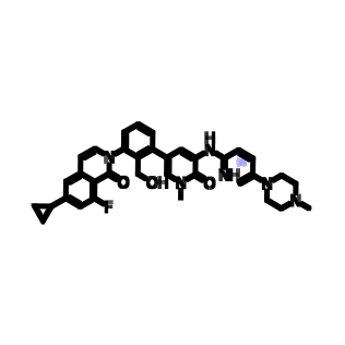 C=C(/C=C\C(=N)Nc1cc(-c2cccc(-n3ccc4cc(C5CC5)cc(F)c4c3=O)c2CO)cn(C)c1=O)N1CCN(C)CC1